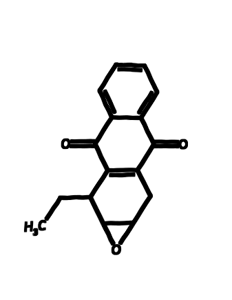 CCC1C2=C(CC3OC31)C(=O)c1ccccc1C2=O